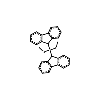 CO[Si](OC)(C1c2ccccc2-c2ccccc21)C1c2ccccc2-c2ccccc21